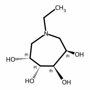 CCN1C[C@@H](O)[C@@H](O)[C@H](O)[C@H](O)C1